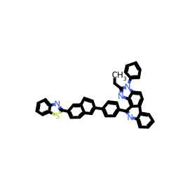 CCc1nc2c3c(-c4ccc(-c5ccc6cc(-c7nc8ccccc8s7)ccc6c5)cc4)nc4ccccc4c3ccc2n1-c1ccccc1